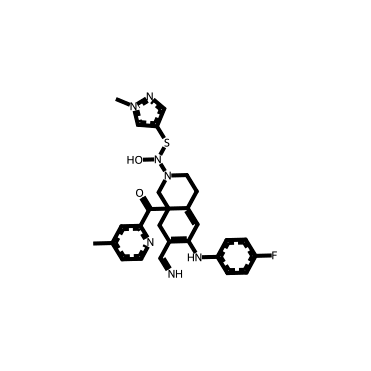 Cc1ccnc(C(=O)C23CC(C=N)=C(Nc4ccc(F)cc4)C=C2CCN(N(O)Sc2cnn(C)c2)C3)c1